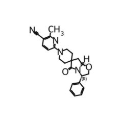 Cc1nc(N2CCC3(CC2)C[C@@H]2OC[C@@H](c4ccccc4)N2C3=O)ccc1C#N